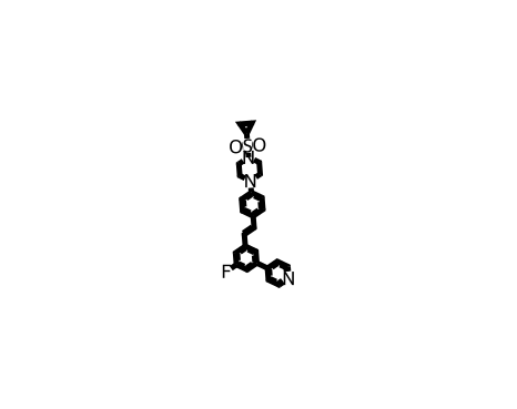 O=S(=O)(C1CC1)N1CCN(c2ccc(C=Cc3cc(F)cc(-c4ccncc4)c3)cc2)CC1